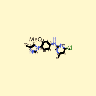 COc1cc(Nc2nc(C)cc(Cl)n2)ccc1-n1cnc(C)c1